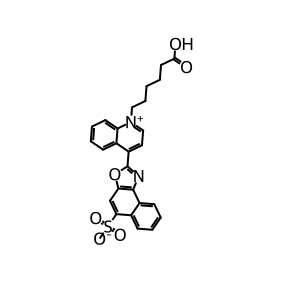 O=C(O)CCCCC[n+]1ccc(-c2nc3c(cc(S(=O)(=O)[O-])c4ccccc43)o2)c2ccccc21